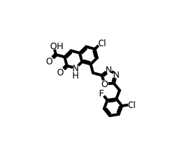 O=C(O)c1cc2cc(Cl)cc(Cc3nnc(Cc4c(F)cccc4Cl)o3)c2[nH]c1=O